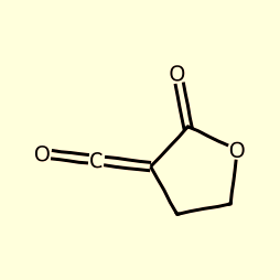 O=C=C1CCOC1=O